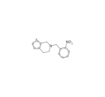 O=[N+]([O-])c1ccccc1CN1CCc2ccsc2C1